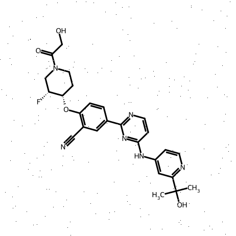 CC(C)(O)c1cc(Nc2ccnc(-c3ccc(O[C@H]4CCN(C(=O)CO)C[C@H]4F)c(C#N)c3)n2)ccn1